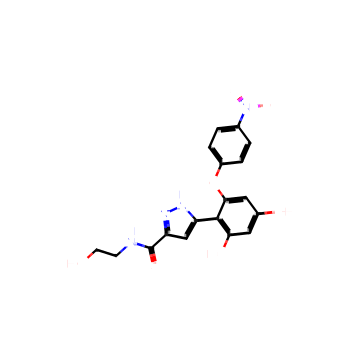 O=C(NCCO)c1cc(-c2c(O)cc(O)cc2Oc2ccc([N+](=O)[O-])cc2)[nH]n1